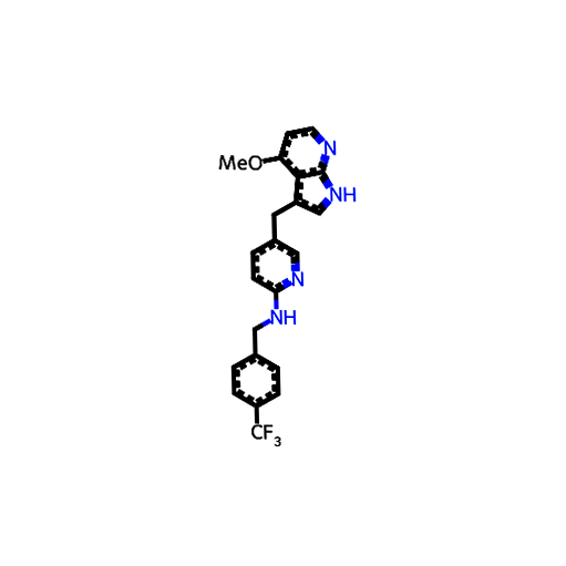 COc1ccnc2[nH]cc(Cc3ccc(NCc4ccc(C(F)(F)F)cc4)nc3)c12